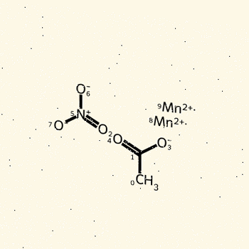 CC(=O)[O-].O=[N+]([O-])[O-].[Mn+2].[Mn+2]